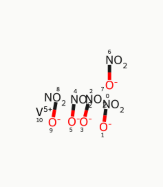 O=[N+]([O-])[O-].O=[N+]([O-])[O-].O=[N+]([O-])[O-].O=[N+]([O-])[O-].O=[N+]([O-])[O-].[V+5]